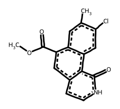 COC(=O)c1cc2cc[nH]c(=O)c2c2cc(Cl)c(C)cc12